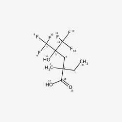 CCC(C)(CC(O)(C(F)(F)F)C(F)(F)F)C(=O)O